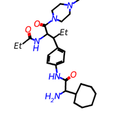 CCC(=O)NC(C(=O)N1CCN(C)CC1)C(CC)c1ccc(NC(=O)C(N)C2CCCCCC2)cc1